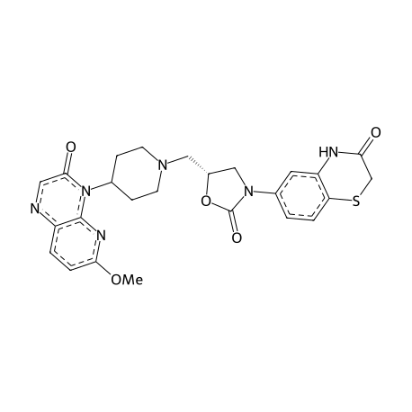 COc1ccc2ncc(=O)n(C3CCN(C[C@@H]4CN(c5ccc6c(c5)NC(=O)CS6)C(=O)O4)CC3)c2n1